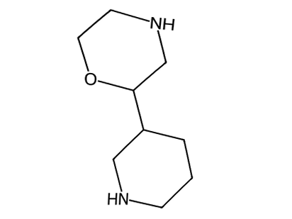 C1CNCC(C2CNCCO2)C1